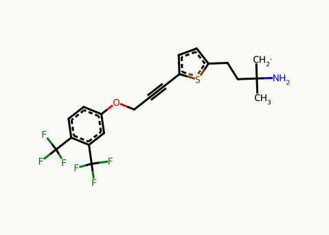 [CH2]C(C)(N)CCc1ccc(C#CCOc2ccc(C(F)(F)F)c(C(F)(F)F)c2)s1